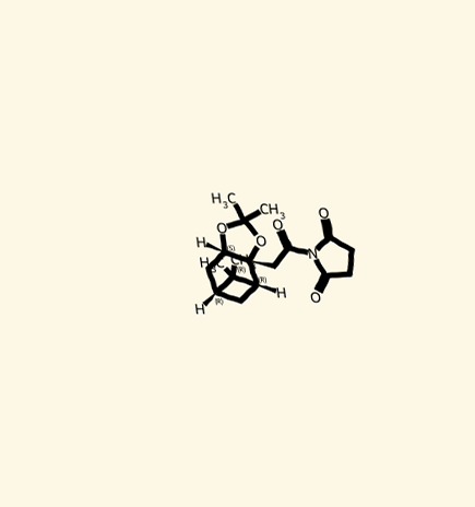 CC1(C)O[C@H]2C[C@H]3C[C@H](C3(C)C)[C@@]2(CC(=O)N2C(=O)CCC2=O)O1